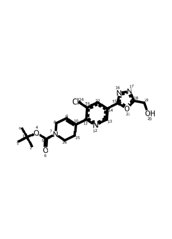 CC(C)(C)OC(=O)N1CC=C(c2ncc(-c3nnc(CO)o3)cc2Cl)CC1